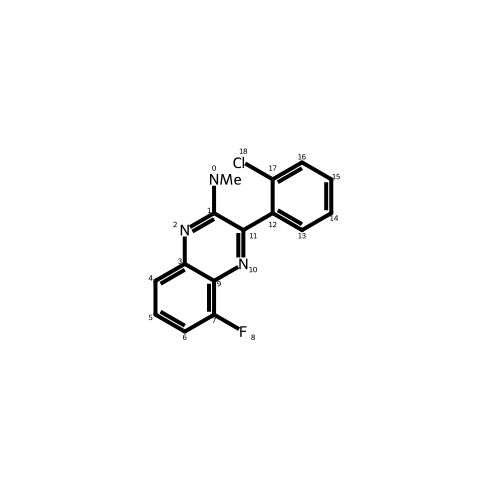 CNc1nc2cccc(F)c2nc1-c1ccccc1Cl